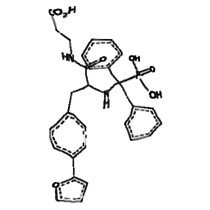 O=C(O)CCNC(=O)C(Cc1ccc(-c2ccco2)cc1)NC(c1ccccc1)(c1ccccc1)P(=O)(O)O